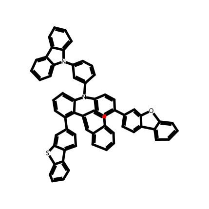 c1cc(N(c2ccc(-c3ccc4c(c3)oc3ccccc34)cc2)c2cccc(-c3ccc4c(c3)sc3ccccc34)c2-c2ccc3ccccc3c2)cc(-n2c3ccccc3c3ccccc32)c1